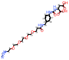 [N-]=[N+]=NCCOCCOCCOCCOCCC(=O)NCc1ccc(NC(=O)NC(CC(=O)O)C(=O)O)cc1